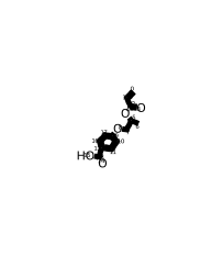 C=CC(=O)OC(C)COc1ccc(C(=O)O)cc1